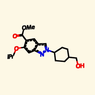 COC(=O)c1cc2cn(C3CCC(CO)CC3)nc2cc1OC(C)C